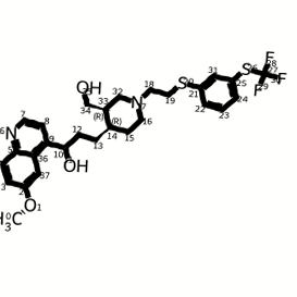 COc1ccc2nccc(C(O)CC[C@@H]3CCN(CCSc4cccc(SC(F)(F)F)c4)C[C@@H]3CO)c2c1